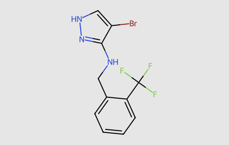 FC(F)(F)c1ccccc1CNc1n[nH]cc1Br